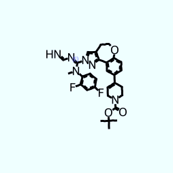 CN(/C(=N\C=N)n1cc2c(n1)-c1cc(C3=CCN(C(=O)OC(C)(C)C)CC3)ccc1OCC2)c1ccc(F)cc1F